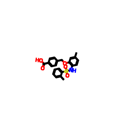 Cc1ccc(NS(=O)(=O)c2ccccc2C)c(OCc2ccc(C(=O)O)cc2)c1